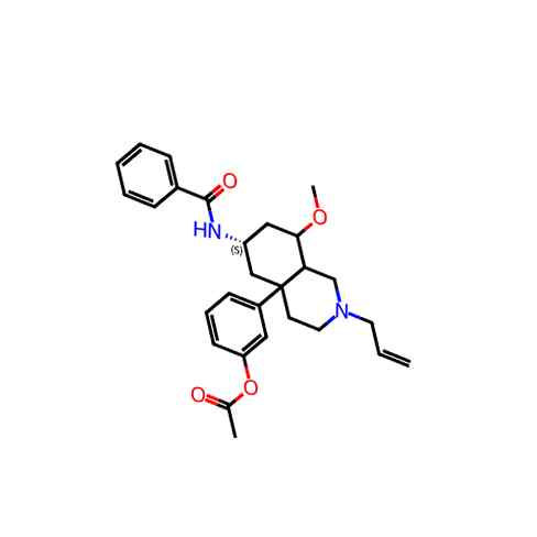 C=CCN1CCC2(c3cccc(OC(C)=O)c3)C[C@H](NC(=O)c3ccccc3)CC(OC)C2C1